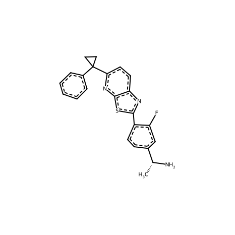 C[C@@H](N)c1ccc(-c2nc3ccc(C4(c5ccccc5)CC4)nc3s2)c(F)c1